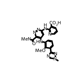 CNC(=O)c1nnc(Nc2ncccc2C(=O)O)cc1Nc1cccc(-c2ncn(C)n2)c1OC